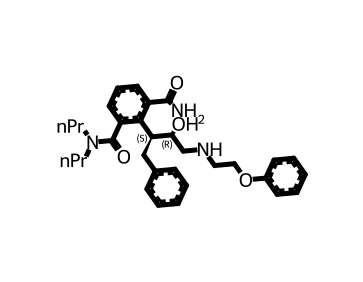 CCCN(CCC)C(=O)c1cccc(C(N)=O)c1[C@H](Cc1ccccc1)[C@@H](O)CNCCOc1ccccc1